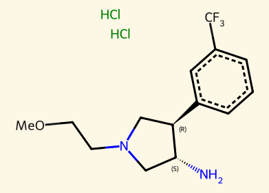 COCCN1C[C@@H](N)[C@H](c2cccc(C(F)(F)F)c2)C1.Cl.Cl